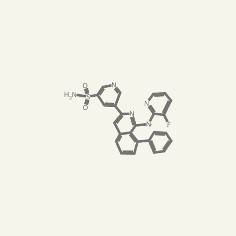 CN(c1ncccc1F)c1nc(-c2cncc(S(N)(=O)=O)c2)cc2cccc(-c3ccccc3)c12